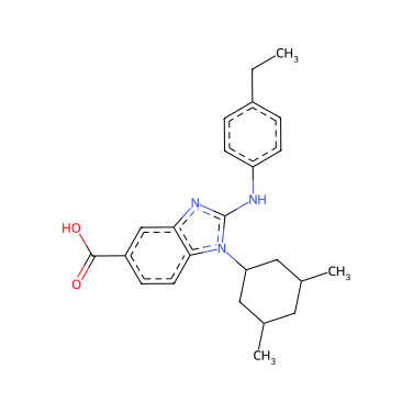 CCc1ccc(Nc2nc3cc(C(=O)O)ccc3n2C2CC(C)CC(C)C2)cc1